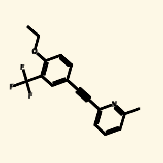 CCOc1ccc(C#Cc2cccc(C)n2)cc1C(F)(F)F